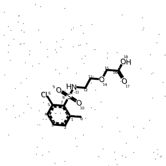 Cc1cccc(Cl)c1S(=O)(=O)NCCOCC(=O)O